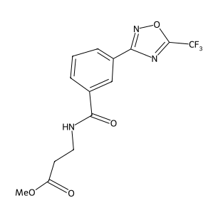 COC(=O)CCNC(=O)c1cccc(-c2noc(C(F)(F)F)n2)c1